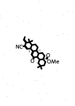 C/C=C1/C(C#N)=C[C@]2(C)C3=CC(=O)C4C5CC(C)(C)CC[C@]5(C(=O)OC)CCC4[C@]3(C)CCC2C1(C)C